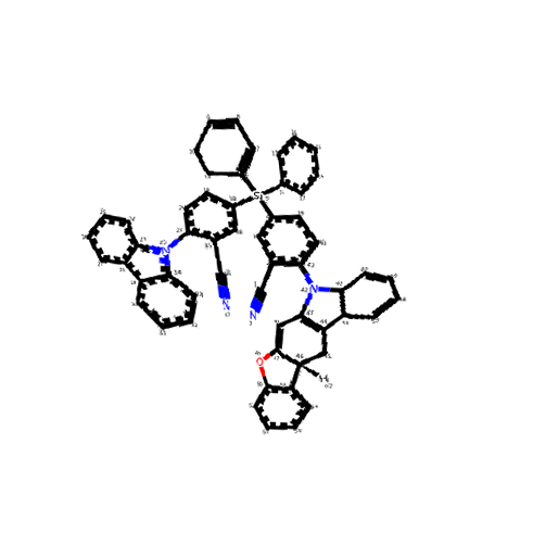 N#Cc1cc([Si](C2=CC=CCC2)(c2ccccc2)c2ccc(-n3c4ccccc4c4ccccc43)c(C#N)c2)ccc1N1C2=C(C[C@H]3C(=C2)Oc2ccccc23)C2C=CC=CC21